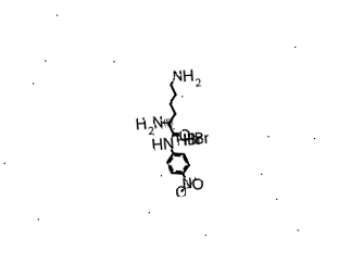 Br.Br.NCCCC[C@H](N)C(=O)Nc1ccc([N+](=O)[O-])cc1